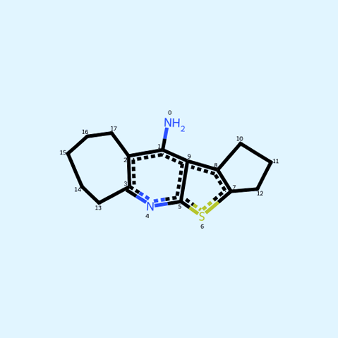 Nc1c2c(nc3sc4c(c13)CCC4)CCCCC2